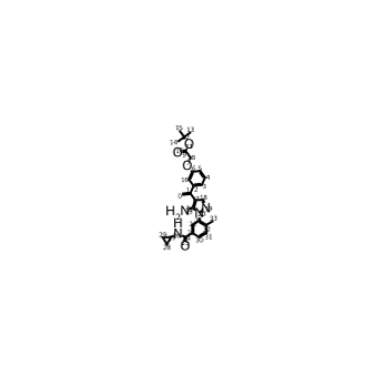 C=C(c1cccc(OCC(=O)OC(C)(C)C)c1)c1cnn(-c2cc(C(=O)NC3CC3)ccc2C)c1N